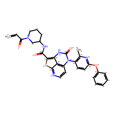 C=CC(=O)N1CCCC(NC(=O)c2sc3nccc4c3c2NC(=O)N4c2ccc(Oc3ccccc3)nc2C)C1